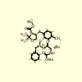 COC(=O)N[C@H](C(=O)NN(Cc1ccccc1)C[C@@H]1OC(C)(C)N(C(=O)OC(C)(C)C)[C@H]1Cc1ccc(C)cc1)C(C)(C)C